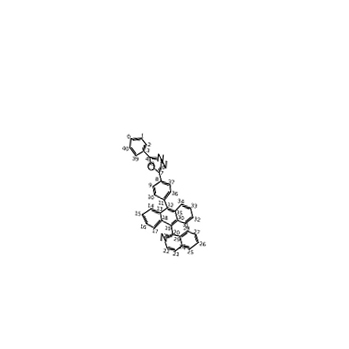 c1ccc(-c2nnc(-c3ccc(-c4c5ccccc5c(-c5nccc6ccccc56)c5ccccc45)cc3)o2)cc1